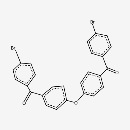 O=C(c1ccc(Br)cc1)c1ccc(Oc2ccc(C(=O)c3ccc(Br)cc3)cc2)cc1